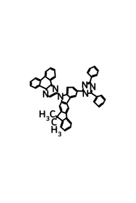 CC1(C)c2ccccc2-c2cc3c4cc(-c5nc(-c6ccccc6)nc(-c6ccccc6)n5)ccc4n(-c4cnc5c6ccccc6c6ccccc6c5n4)c3cc21